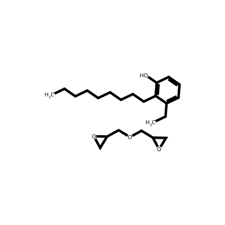 C(OCC1CO1)C1CO1.CCCCCCCCCc1c(O)cccc1CC